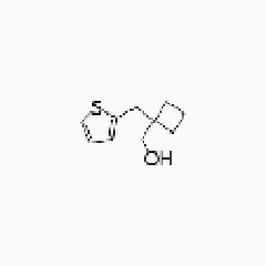 OCC1(Cc2cccs2)CCC1